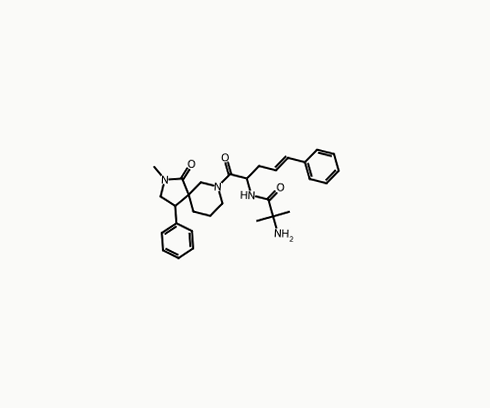 CN1CC(c2ccccc2)C2(CCCN(C(=O)C(CC=Cc3ccccc3)NC(=O)C(C)(C)N)C2)C1=O